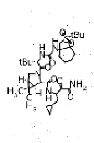 CC(C)(C)[C@H](NC(=O)NC1(CS(=O)(=O)C(C)(C)C)CCCCC1)C(=O)N1C[C@H]2[C@@H]([C@H]1C(=O)NC(CC1CC1)C(=O)C(N)=O)C2(C)C